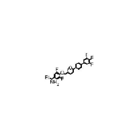 CCC(N)c1cc(F)c(OCC2CCC(c3ccc(-c4cc(F)c(F)c(F)c4)cc3)OC2)c(F)c1